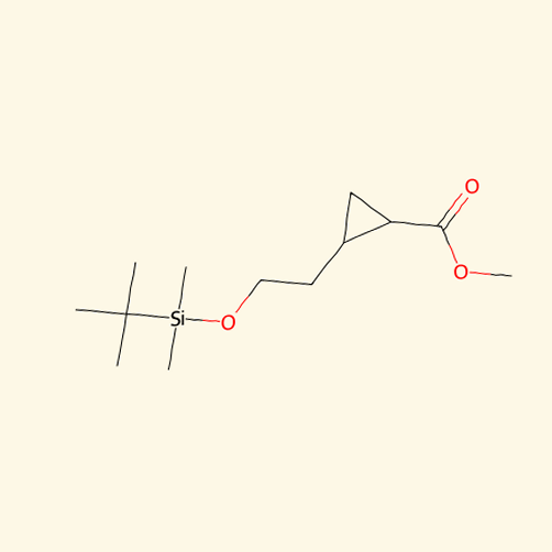 COC(=O)C1CC1CCO[Si](C)(C)C(C)(C)C